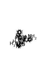 CN(C(=O)[C@@H]1[C@@H](Cc2ccnc(N)c2)C(=O)N1C(=O)N[C@@H](C1CCCCC1)C(F)(F)F)c1ccnn1C